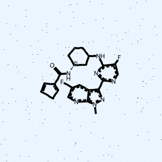 Cn1nc(-c2ncc(F)c(NC3CCC[C@@H](NC(=O)C4=CCC=C4)C3)n2)c2cc(F)cnc21